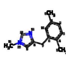 Cc1ccc(C)c(Cc2cn(C)cn2)c1